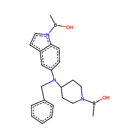 CB(O)N1CCC(N(Cc2ccccc2)c2ccc3c(ccn3B(C)O)c2)CC1